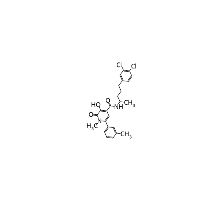 Cc1cccc(-c2cc(C(=O)NC(C)CCCc3ccc(Cl)c(Cl)c3)c(O)c(=O)n2C)c1